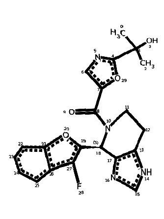 CC(C)(O)c1ncc(C(=O)N2CCc3[nH]cnc3[C@H]2c2oc3ccccc3c2F)o1